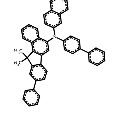 CC1(C)c2cc(-c3ccccc3)ccc2-c2cc(N(c3ccc(-c4ccccc4)cc3)c3ccc4ccccc4c3)c3ccccc3c21